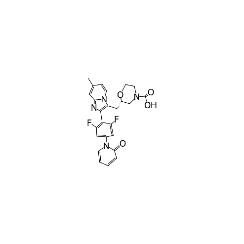 Cc1ccn2c(C[C@H]3CN(C(=O)O)CCO3)c(-c3c(F)cc(-n4ccccc4=O)cc3F)nc2c1